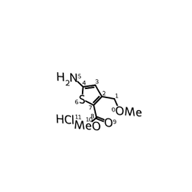 COCc1cc(N)sc1C(=O)OC.Cl